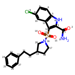 NC(=O)c1[nH]c2ccc(Cl)cc2c1S(=O)(=O)N1CCC(CCc2ccccc2)C1